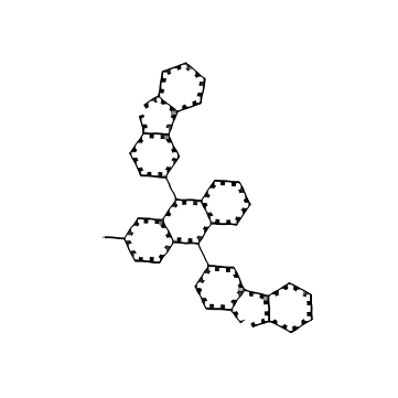 CC(C)(C)c1ccc2c(-c3ccc4oc5ccccc5c4c3)c3ccccc3c(-c3ccc4oc5ccccc5c4c3)c2c1